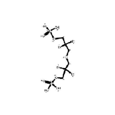 CCC(CC)(COCC(CC)(CC)COP(=O)(O)O)COP(=O)(O)O